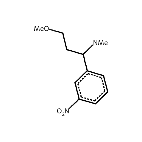 CNC(CCOC)c1cccc([N+](=O)[O-])c1